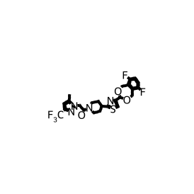 Cc1cc(C(F)(F)F)nn1CC(=O)N1CCC(c2nc(C3OCc4c(F)ccc(F)c4CO3)cs2)CC1